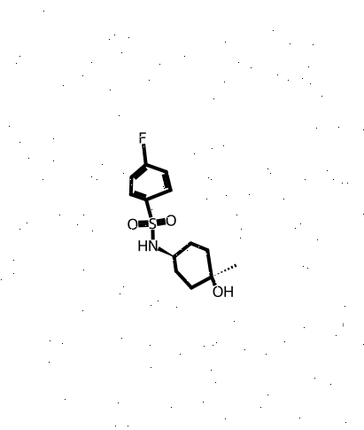 C[C@]1(O)CC[C@@H](NS(=O)(=O)c2ccc(F)cc2)CC1